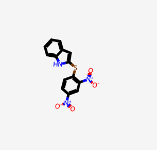 O=[N+]([O-])c1ccc(Sc2cc3ccccc3[nH]2)c([N+](=O)[O-])c1